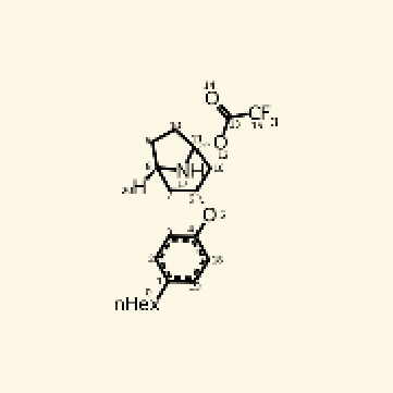 CCCCCCc1ccc(O[C@@H]2C[C@@H]3CC[C@@](OC(=O)C(F)(F)F)(C2)N3)cc1